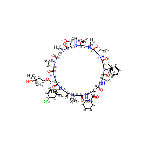 CC(C)C[C@@H]1NC(=O)[C@H](Cc2ccccc2)N(C)C(=O)[C@@H](C(C)C)NC(=O)C[C@@H](C(=O)N2CCCCC2)NC(=O)[C@H](CC(C)C)N(C)C(=O)[C@H](Cc2cccc(Cl)c2)N(C)C(=O)[C@H](COCCC(C)(C)O)NC(=O)[C@H](CC(C)C)N(C)C(=O)CN(C)C(=O)[C@H]([C@@H](C)O)NC(=O)[C@H](C(C)C)N(C)C1=O